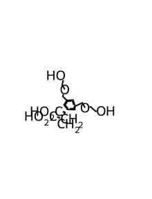 C=CC(=O)O.C=CC(=O)O.OCCOCc1cccc(COCCO)c1